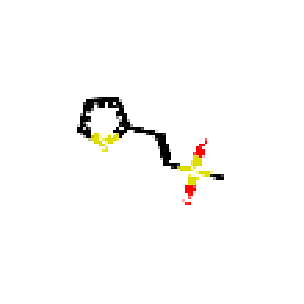 CS(=O)(=O)C=Cc1cccs1